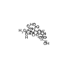 C[C@@H](O)[C@H]1C(=O)N2C(C(=O)O)=C(c3cn4cnc(S(=O)(=O)CCO)c4s3)[C@H](C)[C@H]12